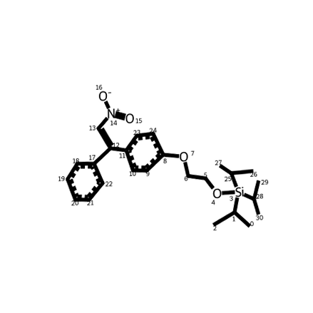 CC(C)[Si](OCCOc1ccc(/C(=C\[N+](=O)[O-])c2ccccc2)cc1)(C(C)C)C(C)C